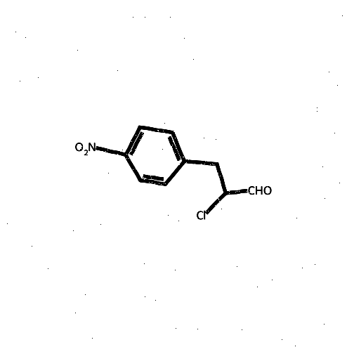 O=CC(Cl)Cc1ccc([N+](=O)[O-])cc1